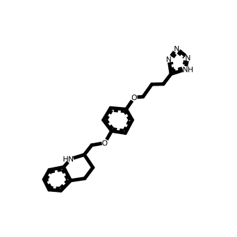 c1ccc2c(c1)CCC(COc1ccc(OCCCc3nnn[nH]3)cc1)N2